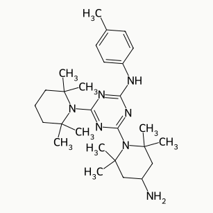 Cc1ccc(Nc2nc(N3C(C)(C)CCCC3(C)C)nc(N3C(C)(C)CC(N)CC3(C)C)n2)cc1